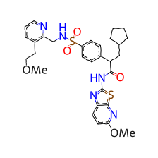 COCCc1cccnc1CNS(=O)(=O)c1ccc(C(CC2CCCC2)C(=O)Nc2nc3ccc(OC)nc3s2)cc1